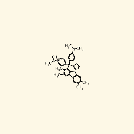 Cc1cc2c(cc1C)-c1cc(C)c(C)c(C(C3=CC=CC3)(c3ccc(N(C)C)cc3)c3ccc(N(C)C)cc3)c1C2